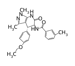 CCOc1ccc([C@@H]2c3c(C)nn(C)c3NC(=O)[C@H]2NC(=O)c2cccc(C)c2)cc1